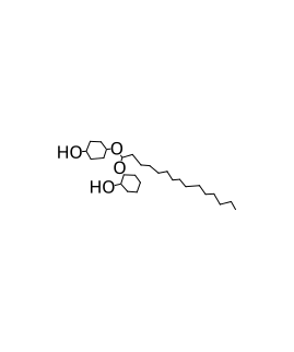 CCCCCCCCCCCCCCC(OC1CCC(O)CC1)OC1CCCCC1O